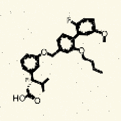 CCCCOc1cc(COc2cccc([C@@H](CC(=O)O)C(C)C)c2)ccc1-c1cc(OC)ccc1F